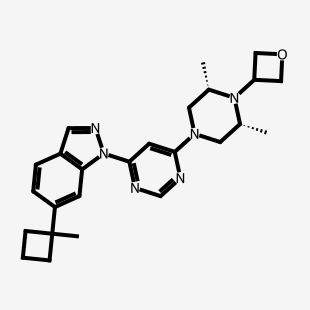 C[C@@H]1CN(c2cc(-n3ncc4ccc(C5(C)CCC5)cc43)ncn2)C[C@H](C)N1C1COC1